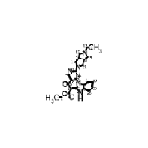 CCOC(=O)c1c(=O)c2cnc(N3CC4CN(CC)CC4C3)nc2n2c1[nH]c1ccccc12